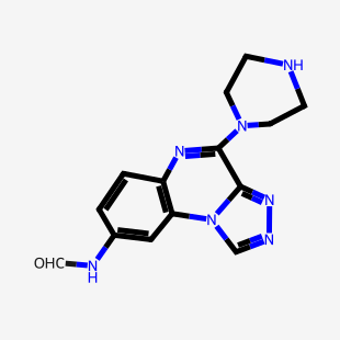 O=CNc1ccc2nc(N3CCNCC3)c3nncn3c2c1